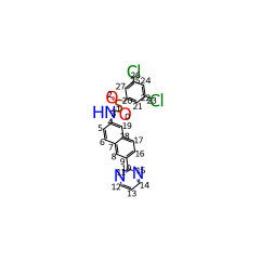 O=S(=O)(Nc1ccc2cc(-c3ncccn3)ccc2c1)c1cc(Cl)cc(Cl)c1